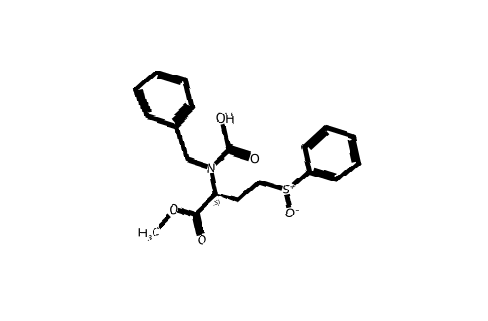 COC(=O)[C@H](CC[S+]([O-])c1ccccc1)N(Cc1ccccc1)C(=O)O